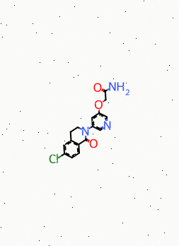 NC(=O)COc1cncc(N2CCc3cc(Cl)ccc3C2=O)c1